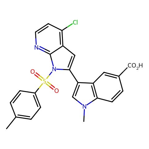 Cc1ccc(S(=O)(=O)n2c(-c3cn(C)c4ccc(C(=O)O)cc34)cc3c(Cl)ccnc32)cc1